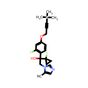 C[Si](C)(C)C#CCOc1ccc(C(O)(Cn2cncc2C#N)C2(F)CC2)c(F)c1